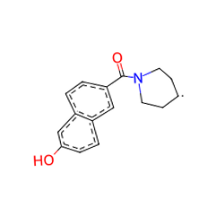 O=C(c1ccc2cc(O)ccc2c1)N1CC[CH]CC1